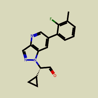 Cc1cccc(-c2cnc3cnn([C@H](C=O)C4CC4)c3c2)c1F